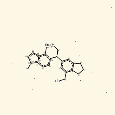 CCOC(=O)C[C@@H](c1cc(CO)c2c(c1)CCC2)c1ccc2c(nnn2C)c1C